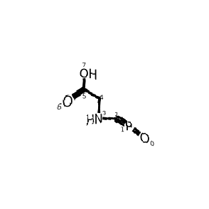 O=P#CNCC(=O)O